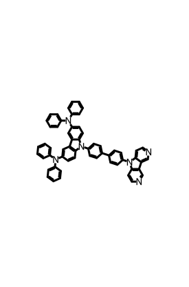 c1ccc(N(c2ccccc2)c2ccc3c(c2)c2cc(N(c4ccccc4)c4ccccc4)ccc2n3-c2ccc(-c3ccc(-n4c5ccncc5c5cnccc54)cc3)cc2)cc1